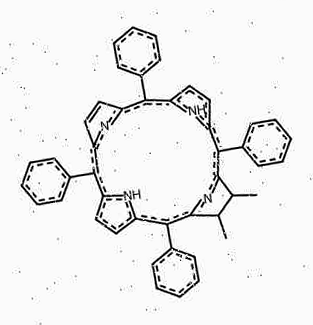 CC1c2nc(c(-c3ccccc3)c3ccc([nH]3)c(-c3ccccc3)c3nc(c(-c4ccccc4)c4ccc([nH]4)c2-c2ccccc2)C=C3)C1C